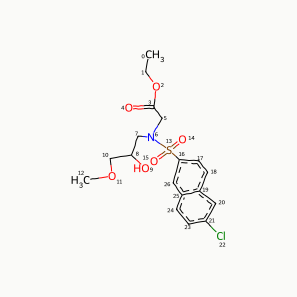 CCOC(=O)CN(CC(O)COC)S(=O)(=O)c1ccc2cc(Cl)ccc2c1